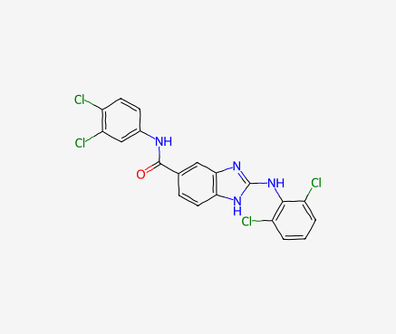 O=C(Nc1ccc(Cl)c(Cl)c1)c1ccc2[nH]c(Nc3c(Cl)cccc3Cl)nc2c1